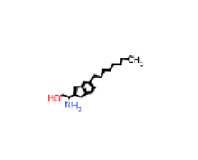 CCCCCCCCc1ccc2c(c1)C=C([C@H](N)CO)C2